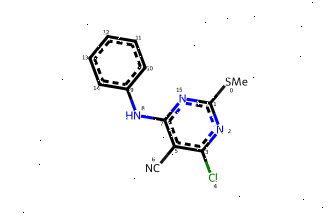 CSc1nc(Cl)c(C#N)c(Nc2ccccc2)n1